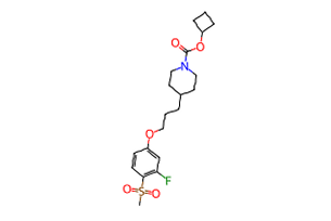 CS(=O)(=O)c1ccc(OCCCC2CCN(C(=O)OC3CCC3)CC2)cc1F